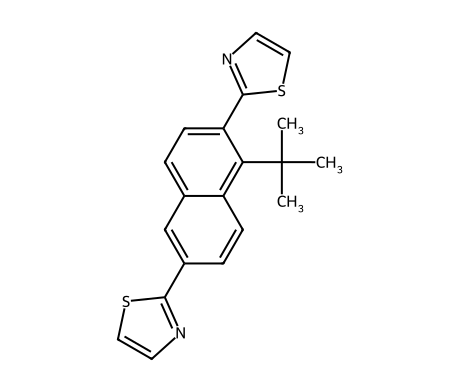 CC(C)(C)c1c(-c2nccs2)ccc2cc(-c3nccs3)ccc12